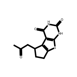 CC(=O)CC1CCc2sc3[nH]c(=O)[nH]c(=O)c3c21